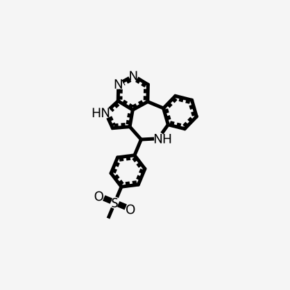 CS(=O)(=O)c1ccc(C2Nc3ccccc3-c3cnnc4[nH]cc2c34)cc1